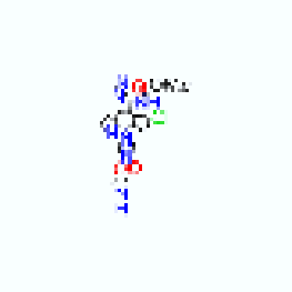 COCC(=O)N[C@H](C1=Cc2cccnc2[C@@H](N2CCN(C(=O)OC3CCNCC3)CC2)c2ccc(Cl)cc21)c1cncn1C